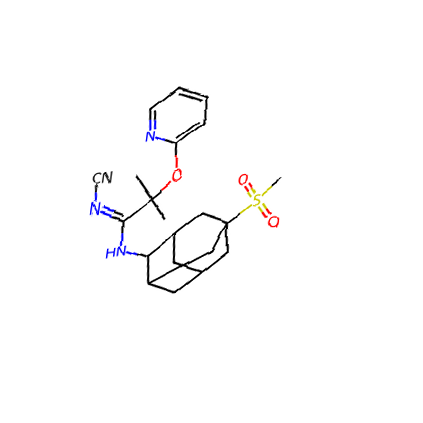 CC(C)(Oc1ccccn1)/C(=N\C#N)NC1C2CC3CC1CC(S(C)(=O)=O)(C3)C2